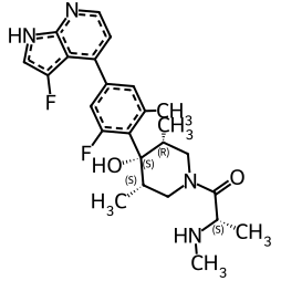 CN[C@@H](C)C(=O)N1C[C@@H](C)[C@](O)(c2c(C)cc(-c3ccnc4[nH]cc(F)c34)cc2F)[C@@H](C)C1